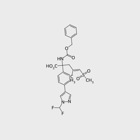 CC(=CS(C)(=O)=O)CC(NC(=O)OCc1ccccc1)(C(=O)O)c1ccc(-c2cnn(C(F)F)c2)cc1